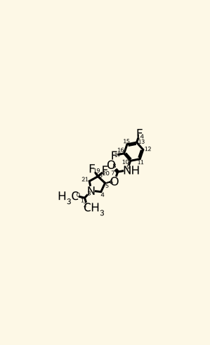 CC(C)N1C[C@H](OC(=O)Nc2ccc(F)cc2F)C(F)(F)C1